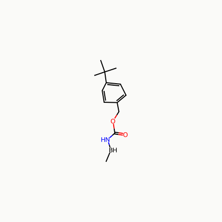 CBNC(=O)OCc1ccc(C(C)(C)C)cc1